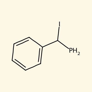 PC(I)c1ccccc1